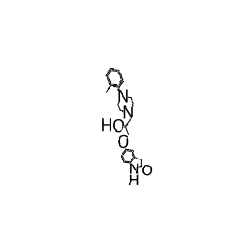 Cc1ccccc1N1CCN(CC(O)COc2ccc3c(c2)CC(=O)N3)CC1